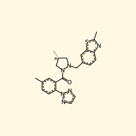 Cc1ccc(-n2nccn2)c(C(=O)N2C[C@H](C)CN2Cc2ccc3nc(C)sc3c2)c1